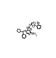 Nc1ncn(CC(c2ccccc2)C2CCCC2)c2nc(SC3=COC(c4ccccc4Br)O3)nc1-2